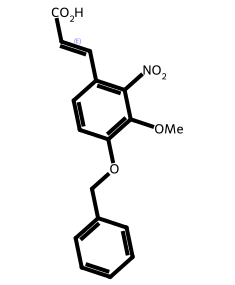 COc1c(OCc2ccccc2)ccc(/C=C/C(=O)O)c1[N+](=O)[O-]